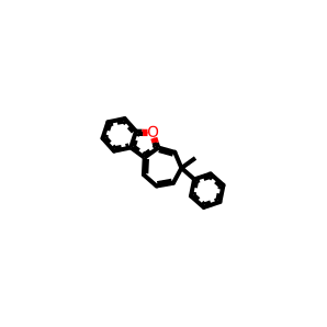 CC1(c2ccccc2)C=CC=c2c(oc3ccccc23)=C1